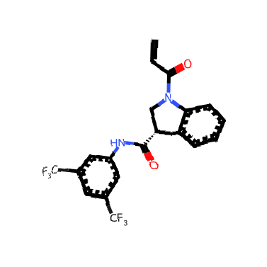 C=CC(=O)N1C[C@@H](C(=O)Nc2cc(C(F)(F)F)cc(C(F)(F)F)c2)c2ccccc21